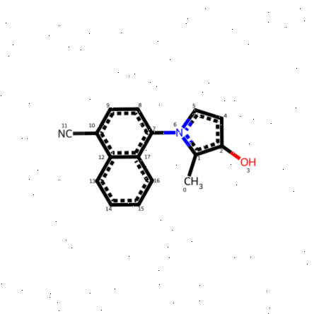 Cc1c(O)ccn1-c1ccc(C#N)c2ccccc12